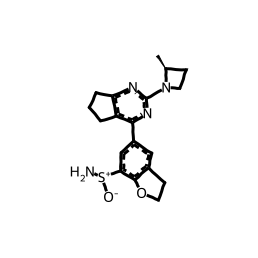 C[C@H]1CCN1c1nc2c(c(-c3cc4c(c([S+](N)[O-])c3)OCC4)n1)CCC2